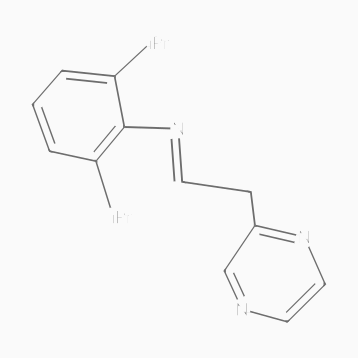 CC(C)c1cccc(C(C)C)c1N=CCc1cnccn1